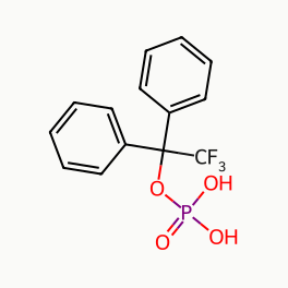 O=P(O)(O)OC(c1ccccc1)(c1ccccc1)C(F)(F)F